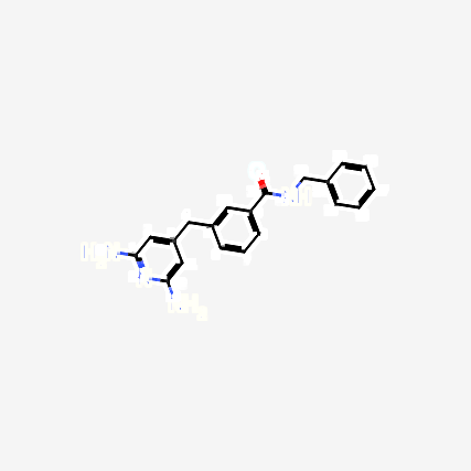 Nc1cc(Cc2cccc(C(=O)NCc3ccccc3)c2)cc(N)n1